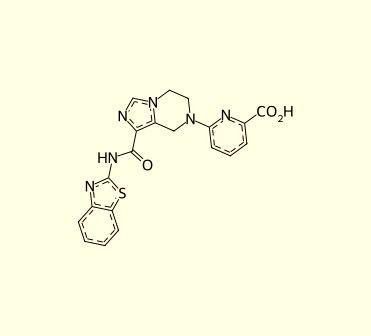 O=C(O)c1cccc(N2CCn3cnc(C(=O)Nc4nc5ccccc5s4)c3C2)n1